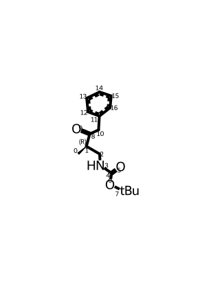 C[C@H](CNC(=O)OC(C)(C)C)C(=O)Cc1ccccc1